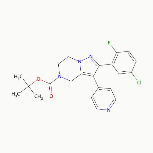 CC(C)(C)OC(=O)N1CCn2nc(-c3cc(Cl)ccc3F)c(-c3ccncc3)c2C1